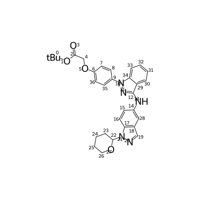 CC(C)(C)OC(=O)COc1ccc(-n2nc(Nc3ccc4c(cnn4C4CCCCO4)c3)c3ccccc32)cc1